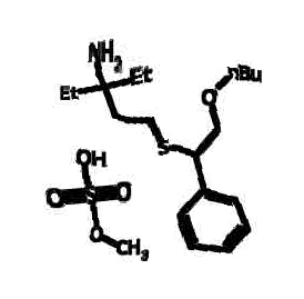 CCCCOCC(SCCC(N)(CC)CC)c1ccccc1.COS(=O)(=O)O